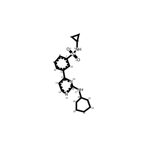 O=S(=O)(NC1CC1)c1cccc(-c2ccnc(NC3CCCCC3)n2)c1